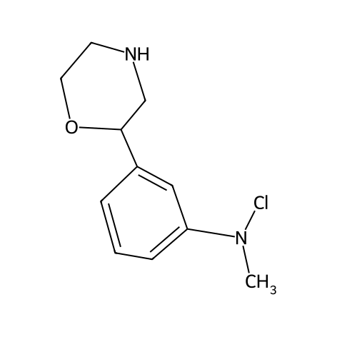 CN(Cl)c1cccc(C2CNCCO2)c1